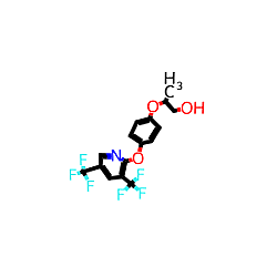 CC(CO)Oc1ccc(Oc2ncc(C(F)(F)F)cc2C(F)(F)F)cc1